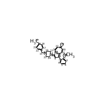 COc1ccccc1-c1cc(N2CCN(Cc3ccc(C)cc3)CC2)n2ccc(=O)ccc12